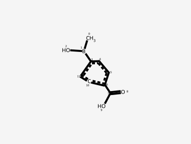 CB(O)c1ccc(C(=O)O)cc1